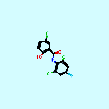 O=C(Nc1c(Cl)cc(F)cc1Cl)c1cc(Cl)ccc1O